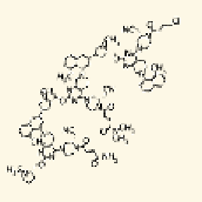 Cc1cccc2cccc(N3CCc4c(nc(OC[C@@H]5CC(c6cc(N7CCc8c(nc(OC[C@@H]9CC(c%10cc(N%11CCc%12c(nc(OC[C@@H]%13CCCN%13C)nc%12N%12CCN(C(=O)/C=C/C(N)=O)[C@@H](CC#N)C%12)C%11)c%11c(C)cccc%11c%10)CN9C)nc8N8CCN(C(=O)/C=C/C(=O)N(C)C)[C@@H](CC#N)C8)C7)c7c(C)cccc7c6)CN5C)nc4N4CCN(C(=O)/C=C/CCl)[C@@H](CC#N)C4)C3)c12